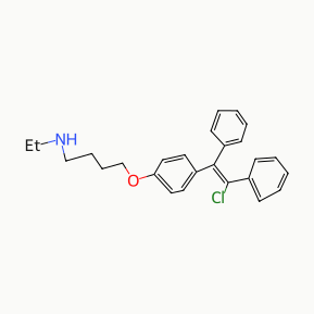 CCNCCCCOc1ccc(C(=C(Cl)c2ccccc2)c2ccccc2)cc1